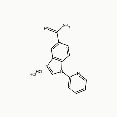 Cl.Cl.N=C(N)c1ccc2c(c1)ncn2-c1ccccn1